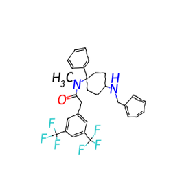 CN(C(=O)Cc1cc(C(F)(F)F)cc(C(F)(F)F)c1)C1(c2ccccc2)CCC(NCc2ccccc2)CC1